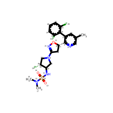 Cc1cnc([C@@H]2CC(N3CC(NS(=O)(=O)N(C)C)[C@H](F)C3)=NO2)c(-c2c(F)cccc2F)c1